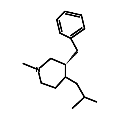 CC(C)CC1CCN(C)C[C@@H]1Cc1ccccc1